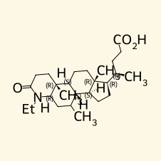 CCN1C(=O)CC[C@]2(C)[C@H]3CC[C@]4(C)[C@@H]([C@H](C)CCC(=O)O)CC[C@H]4[C@@H]3C(C)C[C@@H]12